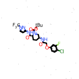 CC(C)(C)OC(=O)N1C[C@@H](NC(=O)COc2ccc(Cl)c(F)c2)CC[C@@H]1C(=O)Nc1ccn(C(F)(F)F)n1